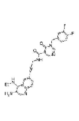 CCNc1c(N)cnc2ccc(C#CCNC(=O)c3cncn(Cc4ccc(F)c(F)c4)c3=O)cc12